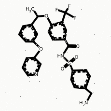 CC(Oc1ccc(C(=O)NS(=O)(=O)c2ccc(CN)cc2)cc1C(F)(F)F)c1cccc(Oc2cccnc2)c1